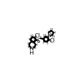 Clc1ccc(CSc2c(Cl)ccc3c2CCNCC3)cc1N1CCCC1